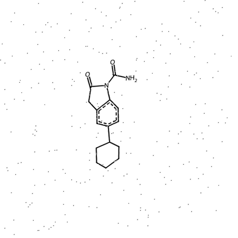 NC(=O)N1C(=O)Cc2cc(C3CCCCC3)ccc21